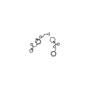 O=C(Cc1ccc(OCC[C@H]2C[C@@H]2C2CCN(C(=O)OCc3ccccc3)CC2)nc1)N1CCC1